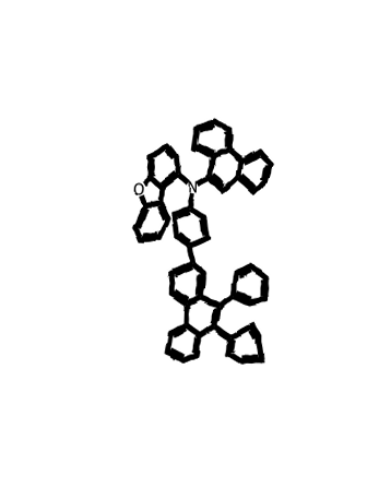 c1ccc(-c2c(-c3ccccc3)c3cc(-c4ccc(N(c5cc6ccccc6c6ccccc56)c5cccc6oc7ccccc7c56)cc4)ccc3c3ccccc23)cc1